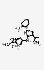 C[C@H]1CCCC[C@@H]1n1cc(C(N)=O)c(Nc2ccc([C@](C)(O)C(F)(F)F)nc2)n1